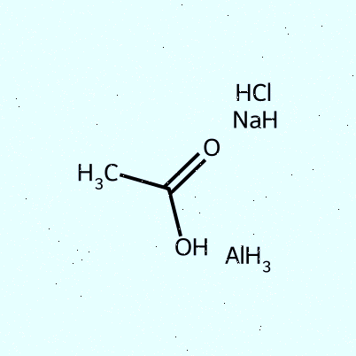 CC(=O)O.Cl.[AlH3].[NaH]